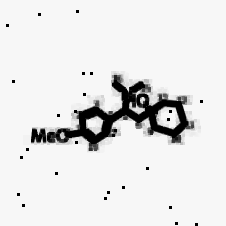 COc1ccc(C(CC2(O)CCCCC2)N(C)C)cc1